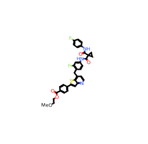 COCCOC(=O)c1ccc(-c2cc3nccc(Cc4ccc(NC(=O)C5(C(=O)Nc6ccc(F)cc6)CC5)cc4F)c3s2)cc1